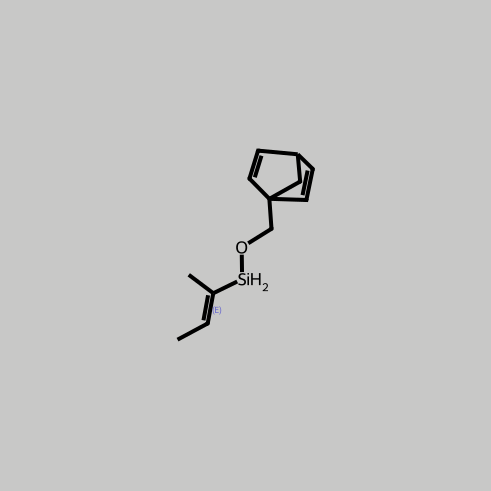 C/C=C(\C)[SiH2]OCC12C=CC(C=C1)C2